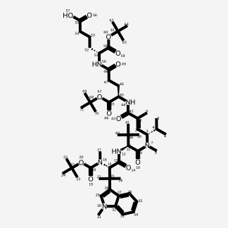 C/C(=C\[C@H](C(C)C)N(C)C(=O)[C@@H](NC(=O)[C@@H](N(C)C(=O)OC(C)(C)C)C(C)(C)c1cn(C)c2ccccc12)C(C)(C)C)C(=O)N[C@H](CCC(=O)N[C@H](CCCC(=O)O)C(=O)OC(C)(C)C)C(=O)OC(C)(C)C